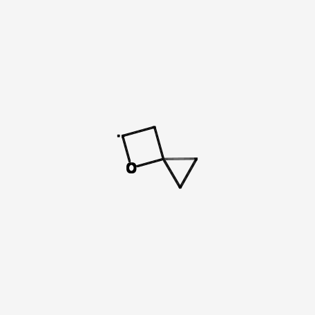 [CH]1CC2(CC2)O1